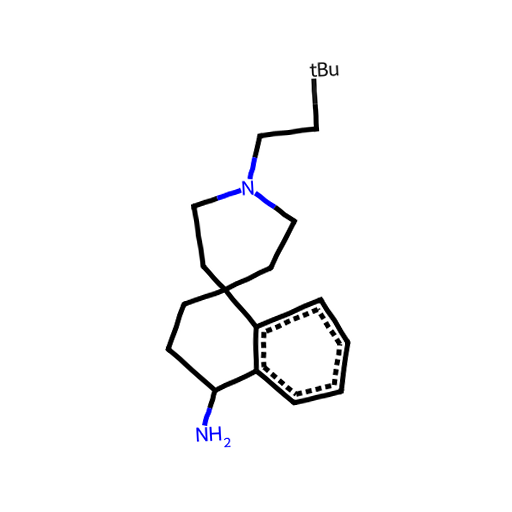 CC(C)(C)CCN1CCC2(CCC(N)c3ccccc32)CC1